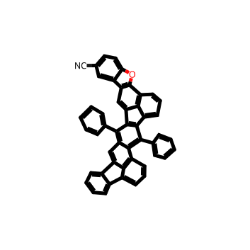 N#Cc1ccc2oc3c(cc4c5c(-c6ccccc6)c6cc7c8ccccc8c8cccc(c6c(-c6ccccc6)c5c5cccc3c45)c87)c2c1